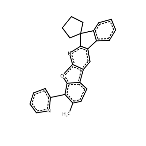 Cc1ccc2c(oc3nc4c(cc32)-c2ccccc2C42CCCC2)c1-c1ccccn1